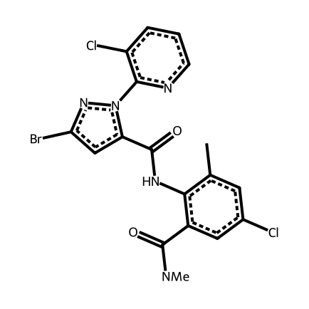 CNC(=O)c1cc(Cl)cc(C)c1NC(=O)c1cc(Br)nn1-c1ncccc1Cl